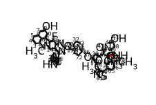 CCc1cccc2cc(O)cc(-c3ncc4c(N5CC6CCCC5CN6)nc(OC[C@@]56CCCN5[C@H](COc5cc([C@@H](C(=O)N7C[C@H](O)C[C@H]7C(=O)N[C@@H](C)c7ccc(-c8scnc8C)cc7)C(C)C)on5)CC6)nc4c3F)c12